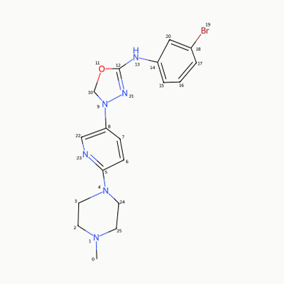 CN1CCN(c2ccc(N3COC(Nc4cccc(Br)c4)=N3)cn2)CC1